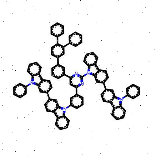 c1ccc(-c2ccc(-c3cccc(-c4cc(-c5cccc(-n6c7ccccc7c7ccc(-c8ccc9c%10ccccc%10n(-c%10ccccc%10)c9c8)cc76)c5)nc(-n5c6ccccc6c6ccc(-c7ccc8c9ccccc9n(-c9ccccc9)c8c7)cc65)n4)c3)cc2-c2ccccc2)cc1